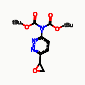 CC(C)(C)OC(=O)N(C(=O)OC(C)(C)C)c1ccc(C2CO2)nn1